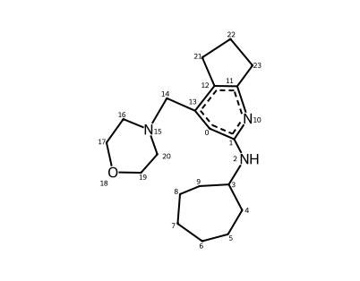 c1c(NC2CCCCCC2)nc2c(c1CN1CCOCC1)CCC2